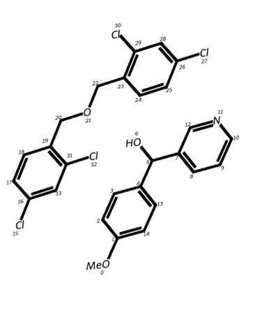 COc1ccc(C(O)c2cccnc2)cc1.Clc1ccc(COCc2ccc(Cl)cc2Cl)c(Cl)c1